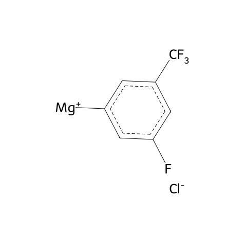 Fc1c[c]([Mg+])cc(C(F)(F)F)c1.[Cl-]